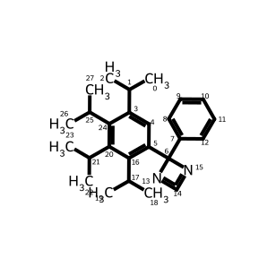 CC(C)c1cc(C2(c3ccccc3)N=C=N2)c(C(C)C)c(C(C)C)c1C(C)C